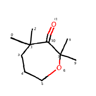 CC1(C)CCCOC(C)(C)C1=O